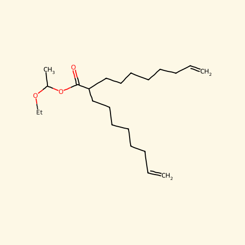 C=CCCCCCCC(CCCCCCC=C)C(=O)OC(C)OCC